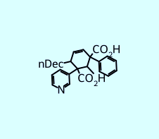 CCCCCCCCCCC1C=CC(C(=O)O)(c2ccccc2)C(C)C1(C(=O)O)c1cccnc1